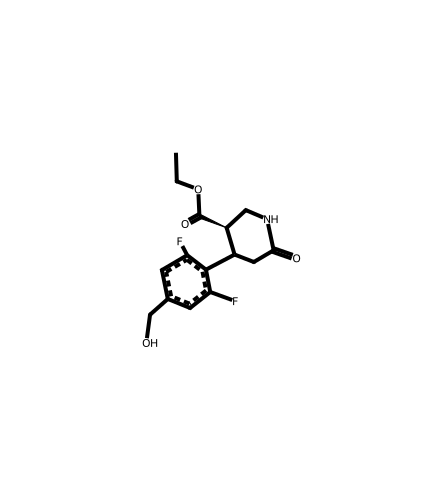 CCOC(=O)[C@H]1CNC(=O)CC1c1c(F)cc(CO)cc1F